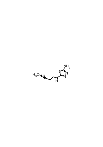 C[N+]#CCCNc1nnc(N)s1